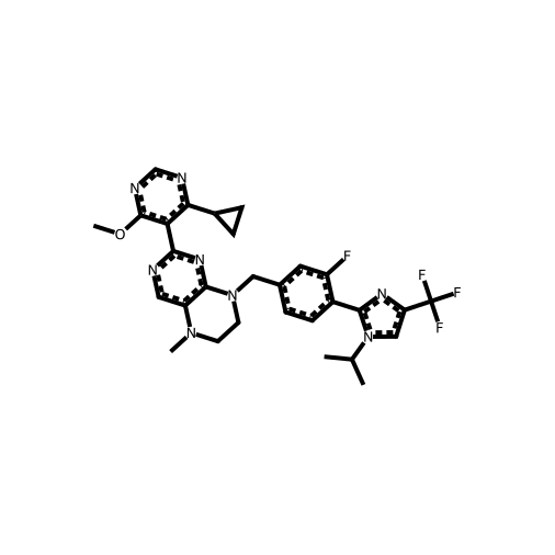 COc1ncnc(C2CC2)c1-c1ncc2c(n1)N(Cc1ccc(-c3nc(C(F)(F)F)cn3C(C)C)c(F)c1)CCN2C